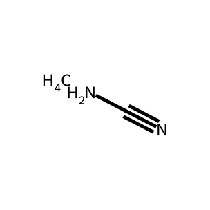 C.N#CN